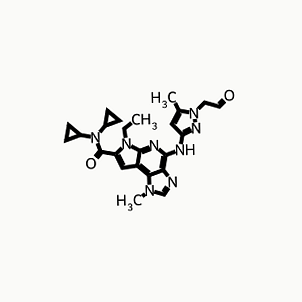 CCn1c(C(=O)N(C2CC2)C2CC2)cc2c3c(ncn3C)c(Nc3cc(C)n(CC=O)n3)nc21